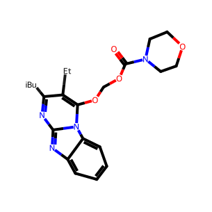 CCc1c(C(C)CC)nc2nc3ccccc3n2c1OCOC(=O)N1CCOCC1